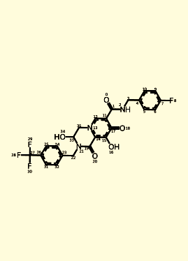 O=C(NCc1ccc(F)cc1)c1cn2c(c(O)c1=O)C(=O)N(Cc1ccc(C(F)(F)F)cc1)C(O)C2